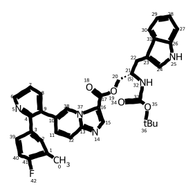 Cc1cc(-c2ncccc2-c2ccc3ncc(C(=O)OC[C@H](Cc4c[nH]c5ccccc45)NC(=O)OC(C)(C)C)n3c2)ccc1F